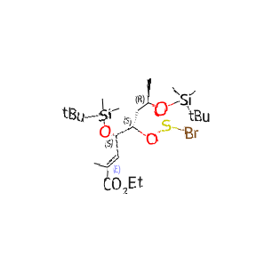 CCOC(=O)/C(C)=C/[C@H](O[Si](C)(C)C(C)(C)C)[C@H](C[C@@H](C)O[Si](C)(C)C(C)(C)C)OSBr